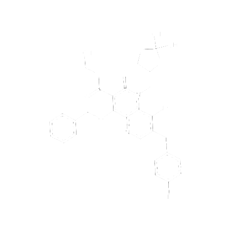 CCOC(=O)c1c(OCc2ccccc2)c2ncc(Cc3ccc(F)cc3)c(Br)c2n(C[C@@H]2COC(C)(C)O2)c1=O